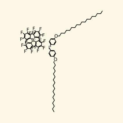 CCCCCCCCCCCCCCCCCCOc1ccc([I+]c2ccc(OCCCCCCCCCCCCCCCCCC)cc2)cc1.Fc1c(F)c(F)c([B-](c2c(F)c(F)c(F)c(F)c2F)(c2c(F)c(F)c(F)c(F)c2F)c2c(F)c(F)c(F)c(F)c2F)c(F)c1F